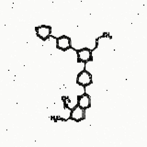 C=Cc1ccc2ccc(-c3ccc(-c4nc(/C=C/C)cc(-c5ccc(-c6ccccc6)cc5)n4)cc3)nc2c1N=C